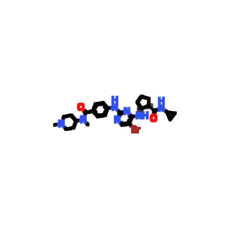 CN1CCC(N(C)C(=O)c2ccc(Nc3ncc(Br)c(N[C@@H]4CCC[C@@H]4C(=O)NC4CC4)n3)cc2)CC1